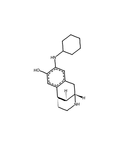 Oc1cc2c(cc1NC1CCCCC1)C[C@@H]1NCC[C@]23CCCC[C@H]13